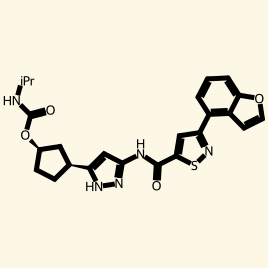 CC(C)NC(=O)O[C@@H]1CC[C@H](c2cc(NC(=O)c3cc(-c4cccc5occc45)ns3)n[nH]2)C1